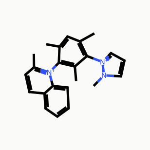 Cc1cc(C)c(-[n+]2cccn2C)c(C)c1-[n+]1c(C)ccc2ccccc21